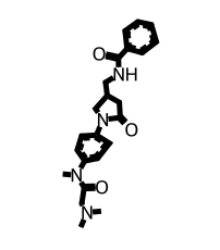 CN(C)CC(=O)N(C)c1ccc(N2CC(CNC(=O)c3ccccc3)CC2=O)cc1